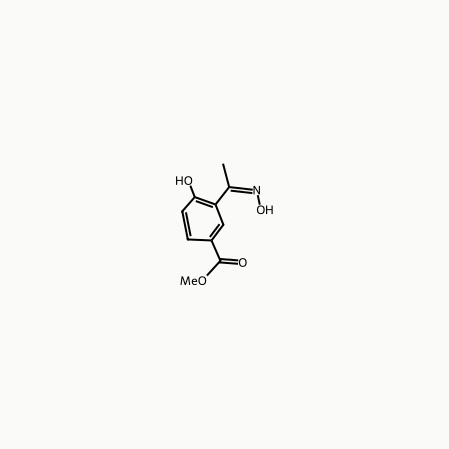 COC(=O)c1ccc(O)c(/C(C)=N\O)c1